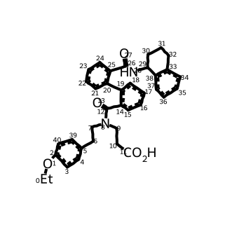 CCOc1ccc(CCN(CCC(=O)O)C(=O)c2ccccc2-c2ccccc2C(=O)NC2CCCc3ccccc32)cc1